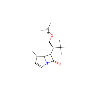 CC1C=CN2C(=O)C([C@@H](CO[SiH](C)C)C(C)(C)C)C12